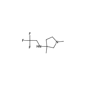 CN1CCC(C)(NCC(F)(F)F)C1